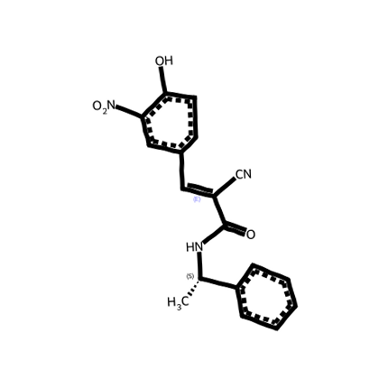 C[C@H](NC(=O)/C(C#N)=C/c1ccc(O)c([N+](=O)[O-])c1)c1ccccc1